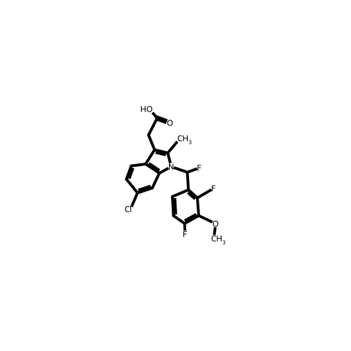 COc1c(F)ccc(C(F)n2c(C)c(CC(=O)O)c3ccc(Cl)cc32)c1F